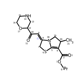 CC(C)OC(=O)C1=C2SC/C(=C\C(=O)C3CNCCO3)N2CC1C